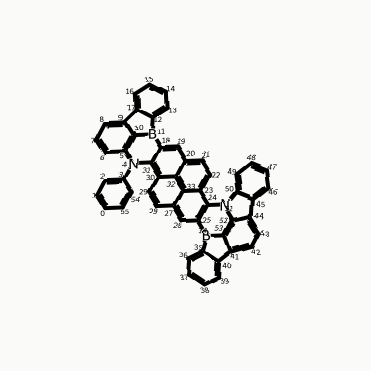 c1ccc(N2c3cccc4c3B(c3ccccc3-4)c3cc4ccc5c6c(cc7ccc(c32)c4c75)B2c3ccccc3-c3ccc4c5ccccc5n-6c4c32)cc1